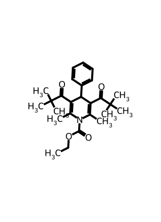 CCOC(=O)N1C(C)=C(C(=O)C(C)(C)C)C(c2ccccc2)C(C(=O)C(C)(C)C)=C1C